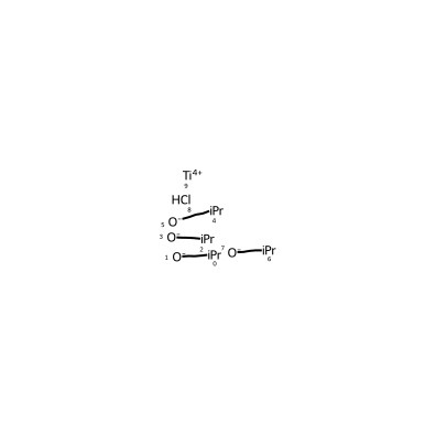 CC(C)[O-].CC(C)[O-].CC(C)[O-].CC(C)[O-].Cl.[Ti+4]